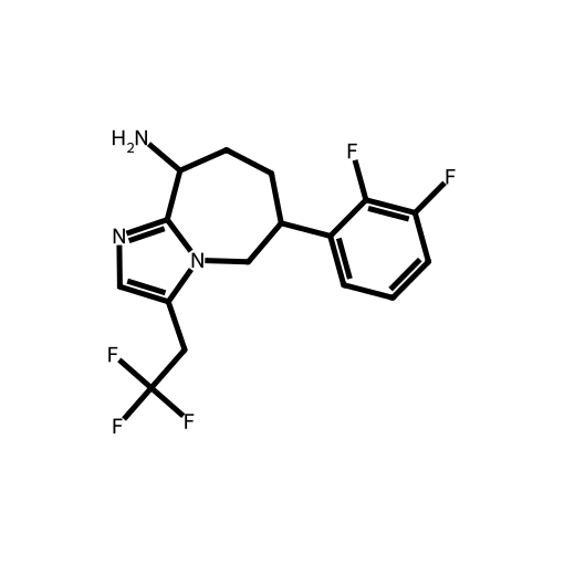 NC1CCC(c2cccc(F)c2F)Cn2c(CC(F)(F)F)cnc21